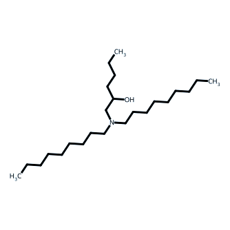 CCCCCCCCCN(CCCCCCCCC)CC(O)CCCC